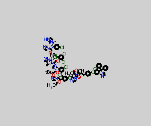 C=CCOC(Cn1ccnc1)c1ccc(Cl)cc1Cl.CC(C)(C)C(=O)C(Oc1ccc(Cl)cc1)n1ccnc1.CC1(C)COC(C)(CCCc2ccc(Cl)cc2)N1C(=O)n1ccnc1.CCCN(CCOc1c(Cl)cc(Cl)cc1Cl)C(=O)n1ccnc1.CCCOC/C(=N\c1ccc(Cl)cc1C(F)(F)F)n1ccnc1.Clc1ccccc1C(c1ccccc1)(c1ccccc1)n1ccnc1.c1c[nH]cn1